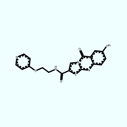 CCCc1ccc2nc3sc(C(=O)NCCSc4ccncc4)cn3c(=O)c2c1